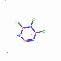 Cln1p(Cl)np[nH]p1Cl